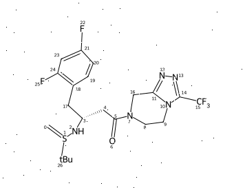 C=S(N[C@@H](CC(=O)N1CCn2c(nnc2C(F)(F)F)C1)Cc1ccc(F)cc1F)C(C)(C)C